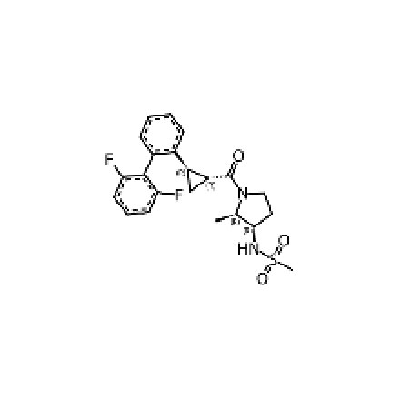 C[C@@H]1[C@H](NS(C)(=O)=O)CCN1C(=O)[C@@H]1C[C@H]1c1ccccc1-c1c(F)cccc1F